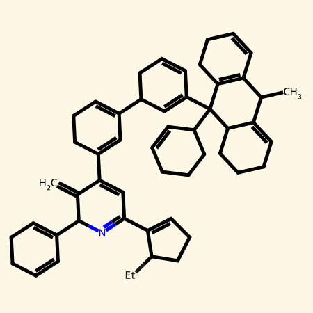 C=C1C(C2=CC(C3C=C(C4(C5C=CCCC5)C5=C(C=CCC5)C(C)C5=CCCCC54)C=CC3)=CCC2)=CC(C2=CCCC2CC)=NC1C1=CCCC=C1